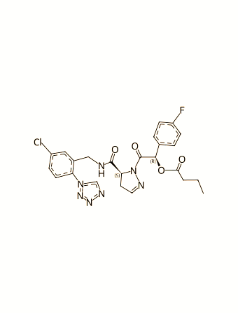 CCCC(=O)O[C@@H](C(=O)N1N=CC[C@H]1C(=O)NCc1cc(Cl)ccc1-n1cnnn1)c1ccc(F)cc1